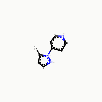 CCc1ccnn1-c1ccncc1